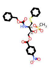 CS(=O)(=O)O[C@@H](COC(=O)c1ccc([N+](=O)[O-])cc1)[C@H](CSc1ccccc1)NC(=O)OCc1ccccc1